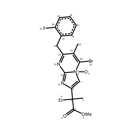 CCC(C)(C(=O)OC)C1=C[N+]2([O-])C(=N1)N=C(Cc1ccccc1F)C(C)=C2Br